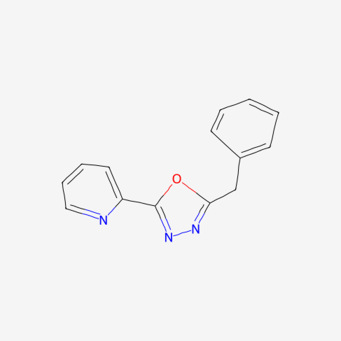 c1ccc(Cc2nnc(-c3ccccn3)o2)cc1